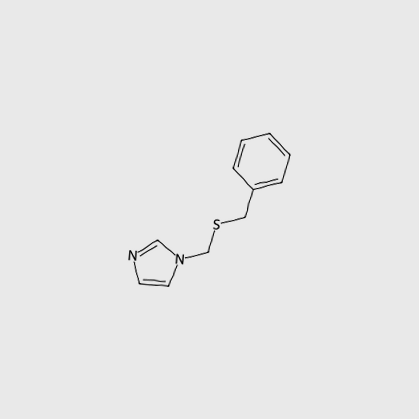 c1ccc(CSCn2ccnc2)cc1